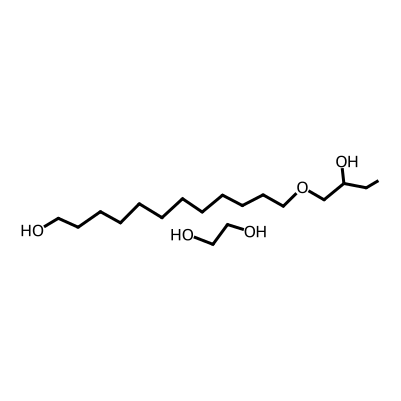 CCC(O)COCCCCCCCCCCCCO.OCCO